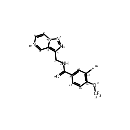 O=C(NCc1nnn2ccncc12)c1ccc(OC(F)(F)F)c(F)c1